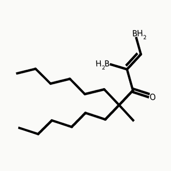 B/C=C(\B)C(=O)C(C)(CCCCCC)CCCCCC